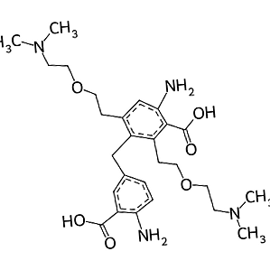 CN(C)CCOCCc1cc(N)c(C(=O)O)c(CCOCCN(C)C)c1Cc1ccc(N)c(C(=O)O)c1